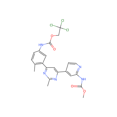 COC(=O)Nc1cc(-c2cc(-c3cc(NC(=O)OCC(Cl)(Cl)Cl)ccc3C)nc(C)n2)ccn1